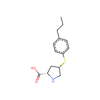 CCCc1ccc(S[C@H]2CN[C@H](C(=O)O)C2)cc1